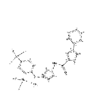 CC(c1ccc(C(F)(F)F)cc1C(F)(F)F)n1cc(NC(=O)c2cc(-c3cnccn3)no2)cn1